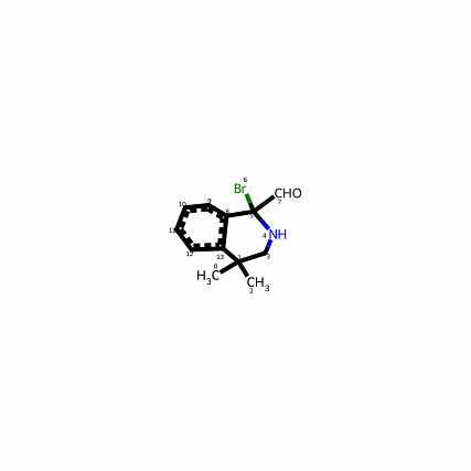 CC1(C)CNC(Br)(C=O)c2ccccc21